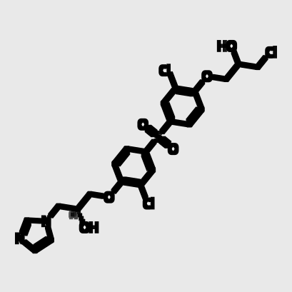 O=S(=O)(c1ccc(OCC(O)CCl)c(Cl)c1)c1ccc(OC[C@H](O)Cn2ccnc2)c(Cl)c1